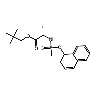 C[C@H](NP(C)(=S)OC1CC=Cc2ccccc21)C(=O)OCC(C)(C)C